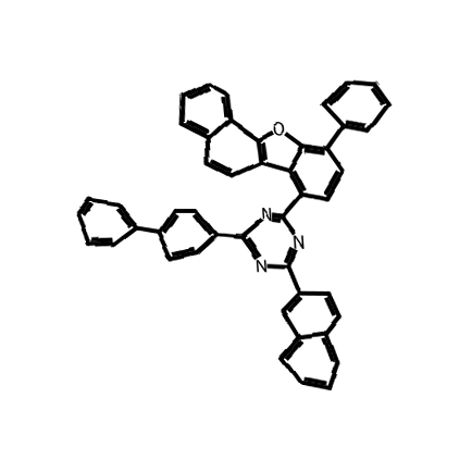 c1ccc(-c2ccc(-c3nc(-c4ccc5ccccc5c4)nc(-c4ccc(-c5ccccc5)c5oc6c7ccccc7ccc6c45)n3)cc2)cc1